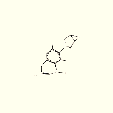 CCN1C=C(C(=O)O)Cc2cc(F)c(N3CC4NC4C3)c(F)c21